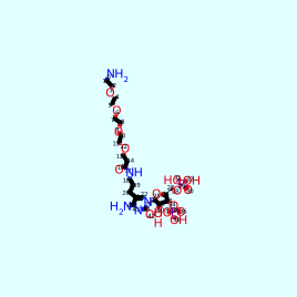 NCCOCCOCCOCCOCCC(=O)NCCCc1cn([C@@H]2O[C@H](COP(=O)(O)O)C(OP(=O)(O)O)C2O)c(=O)nc1N